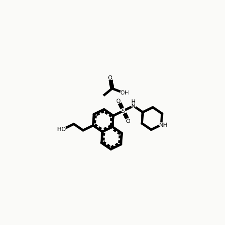 CC(=O)O.O=S(=O)(NC1CCNCC1)c1ccc(CCO)c2ccccc12